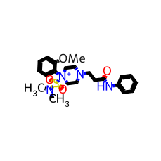 COc1ccccc1[N+]1(S(=O)(=O)N(C)C)CCN(CCC(=O)Nc2ccccc2)CC1